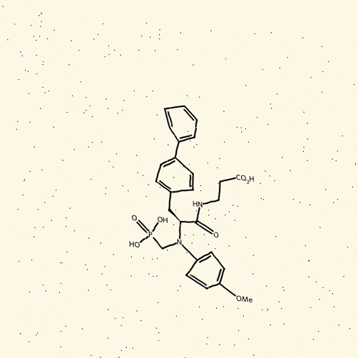 COc1ccc(N(CP(=O)(O)O)[C@@H](Cc2ccc(-c3ccccc3)cc2)C(=O)NCCC(=O)O)cc1